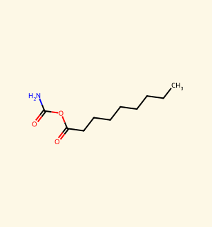 CCCCCCCCC(=O)OC(N)=O